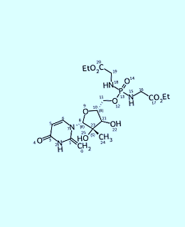 C=C1NC(=O)C=CN1[C@@H]1O[C@H](COP(=O)(NCC(=O)OCC)NCC(=O)OCC)C(O)[C@]1(C)O